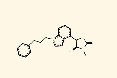 CN1C(=O)SC(c2cccc3c2ccn3CCCc2ccccc2)C1=O